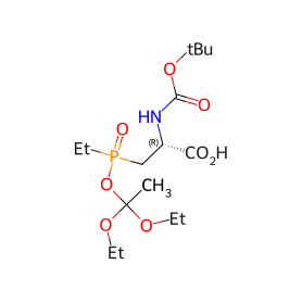 CCOC(C)(OCC)OP(=O)(CC)C[C@H](NC(=O)OC(C)(C)C)C(=O)O